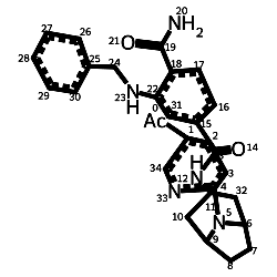 CC(=O)c1ccc(N2C3CCC2CC(NC(=O)c2ccc(C(N)=O)c(NCc4ccccc4)c2)C3)nc1